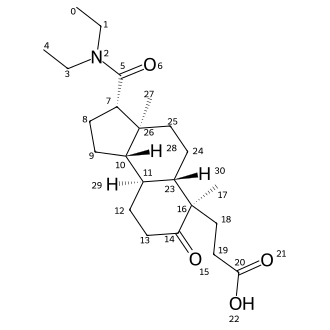 CCN(CC)C(=O)[C@H]1CC[C@H]2[C@@H]3CCC(=O)[C@](C)(CCC(=O)O)[C@H]3CC[C@]12C